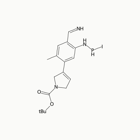 Cc1cc(C=N)c(NPI)cc1C1=CCN(C(=O)OC(C)(C)C)C1